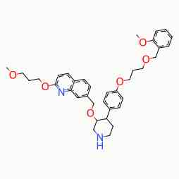 COCCCOc1ccc2ccc(COC3CNCCC3c3ccc(OCCCOCc4ccccc4OC)cc3)cc2n1